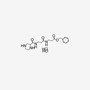 Cl.Cl.O=C(CCNC(=O)C1CNCCN1)NCCC(=O)OCc1ccccc1